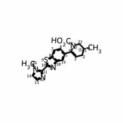 C[C@H]1CC=C(c2ccc3sc(-c4nccn4C)nc3c2)N(C(=O)O)C1